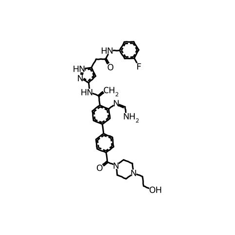 C=C(Nc1cc(CC(=O)Nc2cccc(F)c2)[nH]n1)c1ccc(-c2ccc(C(=O)N3CCN(CCO)CC3)cc2)cc1/N=C\N